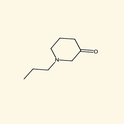 CCCN1CCCC(=O)C1